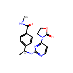 C[C@H](Nc1nccc(N2CCOC2=O)n1)c1ccc(C(=O)NC(C)(C)C)cc1